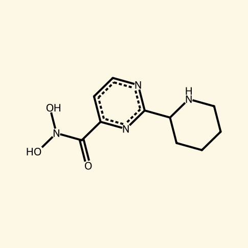 O=C(c1ccnc(C2CCCCN2)n1)N(O)O